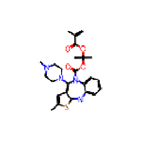 C=C(C)C(=O)OC(C)(C)OC(=O)N1C(N2CCN(C)CC2)=c2cc(C)sc2=Nc2ccccc21